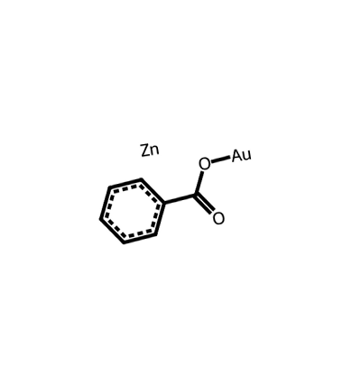 O=C([O][Au])c1ccccc1.[Zn]